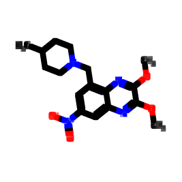 COc1nc2cc([N+](=O)[O-])cc(CN3CCC(C)CC3)c2nc1OC